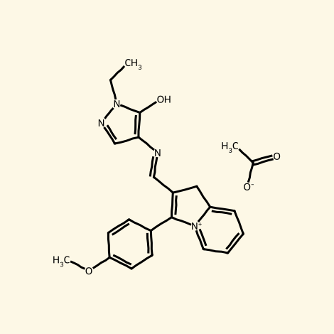 CC(=O)[O-].CCn1ncc(/N=C/C2=C(c3ccc(OC)cc3)[n+]3ccccc3C2)c1O